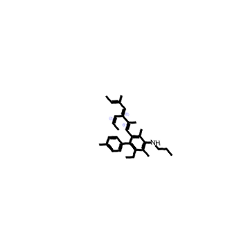 CC=C(C)/C=C(\C=C/C)C(/C)=C/c1c(C)c(NCCC)c(C)c(CC)c1-c1ccc(C)cc1